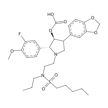 CCCCCS(=O)(=O)N(CCC)CCN1CC(c2ccc3c(c2)OCO3)[C@H](OC(=O)O)[C@H]1c1ccc(OC)c(F)c1